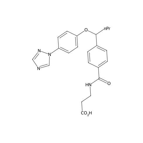 CCCC(Oc1ccc(-n2cncn2)cc1)c1ccc(C(=O)NCCC(=O)O)cc1